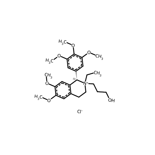 CC[N+]1(CCCO)CCc2cc(OC)c(OC)cc2[C@@H]1c1cc(OC)c(OC)c(OC)c1.[Cl-]